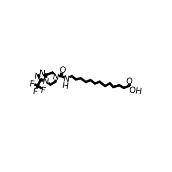 O=C(O)CCCCCCCCCCCCNC(=O)N1CCn2c(nnc2C(F)(F)F)C1